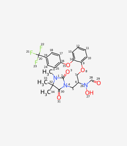 CN1C(=O)N(CC(COc2ccccc2Oc2ccc(C(F)(F)F)cc2)N(O)C=O)C(=O)C1(C)C